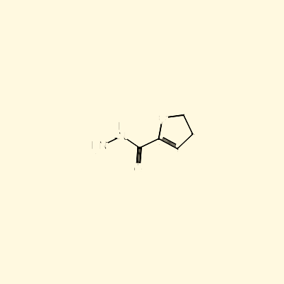 NNC(=O)C1=CCCO1